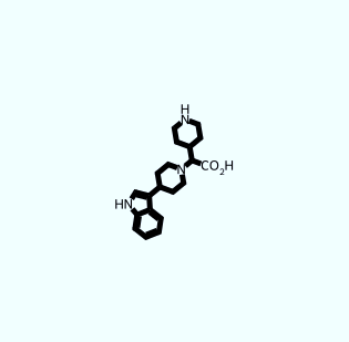 O=C(O)C(C1CCNCC1)N1CCC(c2c[nH]c3ccccc23)CC1